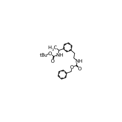 CC(NC(=O)OC(C)(C)C)c1cccc(CCNC(=O)OCc2ccccc2)c1